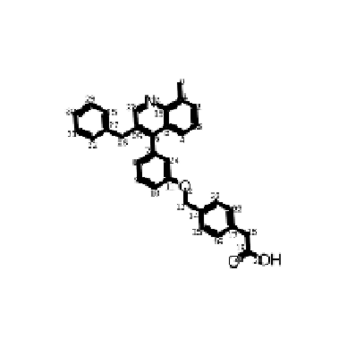 Cc1cccc2c(-c3cccc(OCc4ccc(CC(=O)O)cc4)c3)c(Cc3ccccc3)cnc12